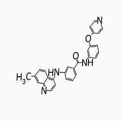 Cc1ccc2c(Nc3cccc(C(=O)Nc4cccc(Oc5ccncc5)c4)c3)ccnc2c1